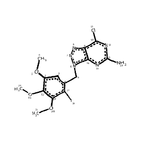 COc1cc(Cn2nnc3c(Cl)nc(N)nc32)c(I)c(OC)c1OC